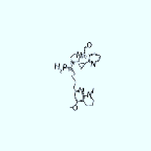 COc1cc(CCCC[C@H](P)[C@@H]2CCN([C@H](C=O)c3cccnc3C3CC3)C2)nc2c1CCCN2I